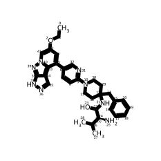 CCOc1cc(-c2ccc(N3CCC(Cc4ccccc4)(NC(O)[C@@H](N)C(C)C)CC3)nc2)c2c3cn[nH]c3nn2c1